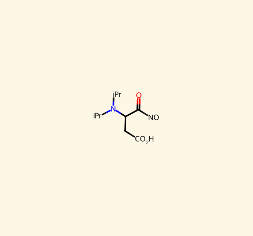 CC(C)N(C(C)C)C(CC(=O)O)C(=O)N=O